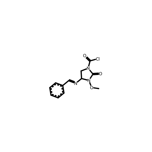 CON1C(=O)N(C(=O)Cl)CC1N=Cc1ccccc1